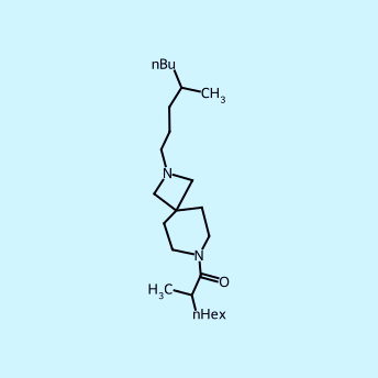 CCCCCCC(C)C(=O)N1CCC2(CC1)CN(CCCC(C)CCCC)C2